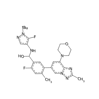 Cc1nc2c(N3CCOCC3)cc(-c3cc(C(O)Nc4cnn(C(C)(C)C)c4F)c(F)cc3C)cn2n1